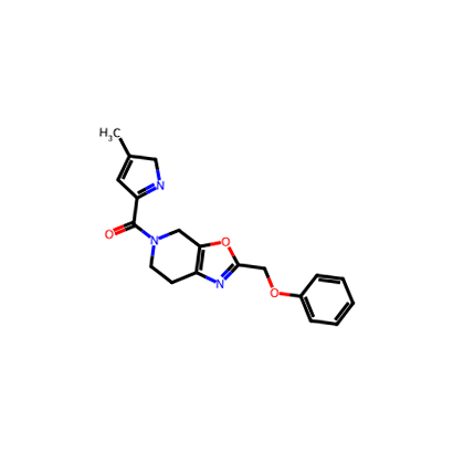 CC1=CC(C(=O)N2CCc3nc(COc4ccccc4)oc3C2)=NC1